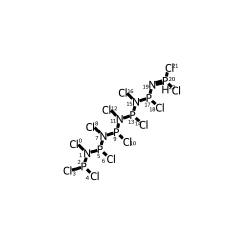 ClN(P(Cl)Cl)P(Cl)N(Cl)P(Cl)N(Cl)P(Cl)N(Cl)P(Cl)N=[PH](Cl)Cl